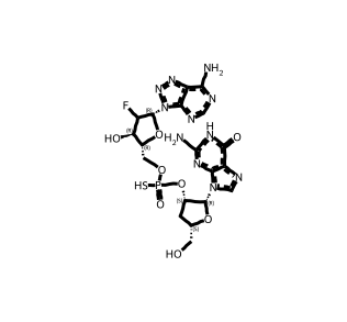 Nc1nc2c(ncn2[C@@H]2O[C@H](CO)C[C@@H]2OP(=O)(S)OC[C@H]2O[C@@H](n3nnc4c(N)ncnc43)C(F)[C@@H]2O)c(=O)[nH]1